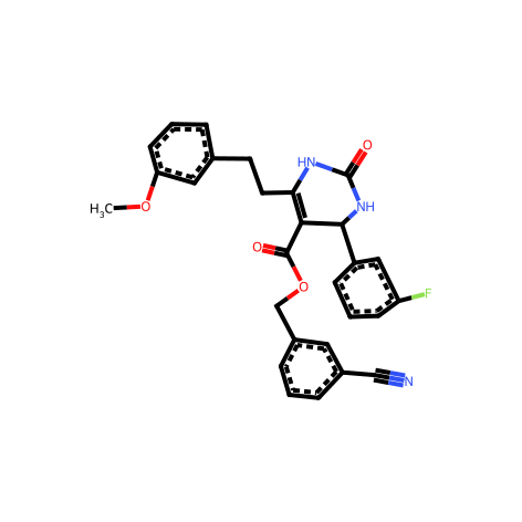 COc1cccc(CCC2=C(C(=O)OCc3cccc(C#N)c3)C(c3cccc(F)c3)NC(=O)N2)c1